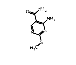 CSc1ncc(C(N)=O)c(N)n1